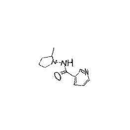 CC1CCCN1NC(=O)c1cccnc1